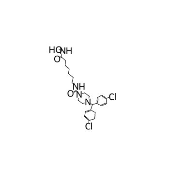 O=C(CCCCCCNC(=O)N1CCN(C(C2=CC=C(Cl)CC2)c2ccc(Cl)cc2)CC1)NO